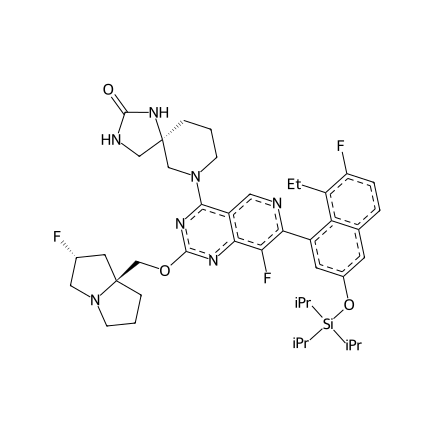 CCc1c(F)ccc2cc(O[Si](C(C)C)(C(C)C)C(C)C)cc(-c3ncc4c(N5CCC[C@@]6(CNC(=O)N6)C5)nc(OC[C@@]56CCCN5C[C@H](F)C6)nc4c3F)c12